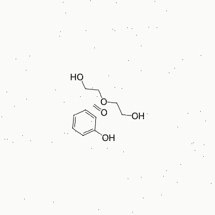 C=O.OCCOCCO.Oc1ccccc1